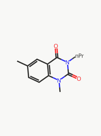 CCCn1c(=O)c2cc(C)ccc2n(C)c1=O